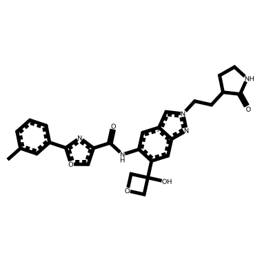 Cc1cccc(-c2nc(C(=O)Nc3cc4cn(CCC5CCNC5=O)nc4cc3C3(O)COC3)co2)c1